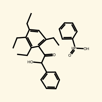 CCc1cc(CC)c(C(=O)C(O)c2ccccc2)c(CC)c1CC.O=[PH](O)c1ccccc1